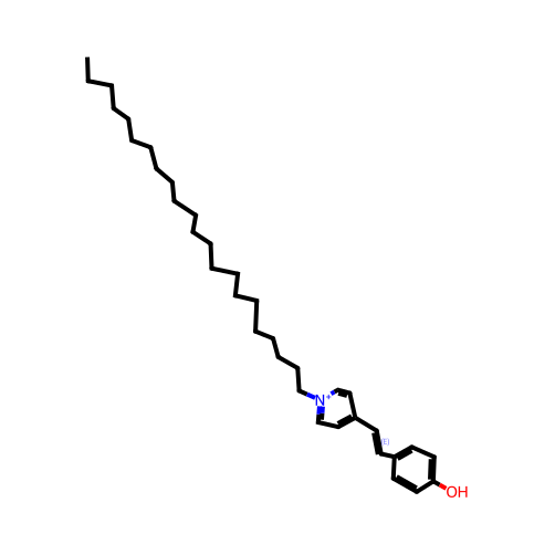 CCCCCCCCCCCCCCCCCCCCCC[n+]1ccc(/C=C/c2ccc(O)cc2)cc1